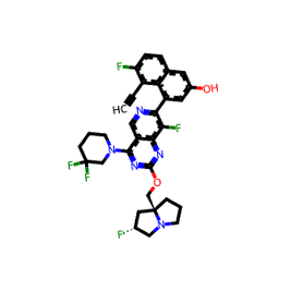 C#Cc1c(F)ccc2cc(O)cc(-c3ncc4c(N5CCCC(F)(F)C5)nc(OC[C@@]56CCCN5C[C@H](F)C6)nc4c3F)c12